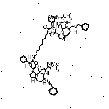 CN[C@@H](C)C(=O)N[C@@H]1C(=O)N2[C@@H](CC[C@@H]1CNCc1ccccc1)CC[C@H]2C(=O)N[C@H](C(=O)NCCCCCCCCNC(=O)[C@@H](NC(=O)[C@@H]1CC[C@@H]2CC[C@H](CNCc3ccccc3)[C@H](NC(=O)[C@H](C)NC)C(=O)N21)c1ccccc1)c1ccccc1